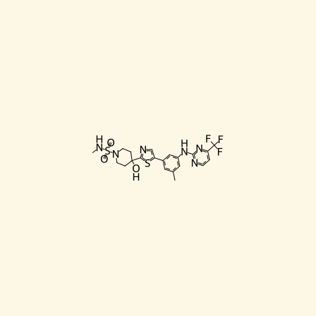 CNS(=O)(=O)N1CCC(O)(c2ncc(-c3cc(C)cc(Nc4nccc(C(F)(F)F)n4)c3)s2)CC1